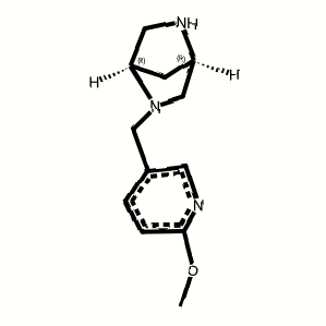 COc1ccc(CN2C[C@H]3C[C@@H]2CN3)cn1